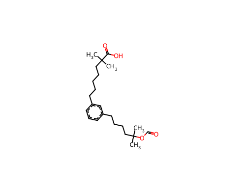 CC(C)(CCCCc1cccc(CCCCCC(C)(C)C(=O)O)c1)OC=O